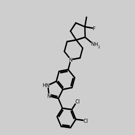 CC1(F)CCC2(CCN(c3ccc4c(-c5cccc(Cl)c5Cl)n[nH]c4c3)CC2)C1N